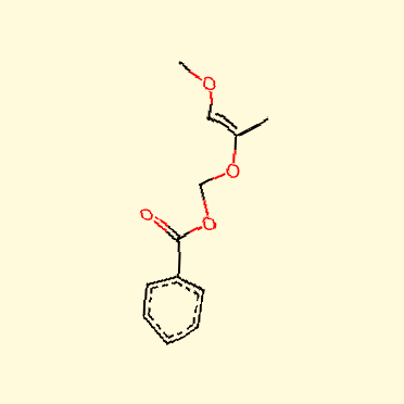 COC=C(C)OCOC(=O)c1ccccc1